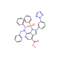 COC(=O)c1cnc(N(Cc2ccccc2)Cc2ccccc2)c2c1cc(-c1cccc(-n3nccn3)c1)n2S(=O)(=O)c1ccccc1